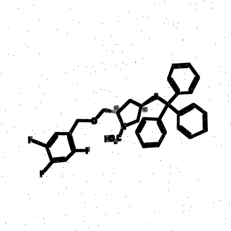 O=C(O)N1C[C@H](SC(c2ccccc2)(c2ccccc2)c2ccccc2)C[C@H]1COCc1cc(F)c(F)cc1F